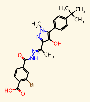 C/C(=N\NC(=O)c1ccc(C(=O)O)c(Br)c1)c1nn(C)c(-c2ccc(C(C)(C)C)cc2)c1O